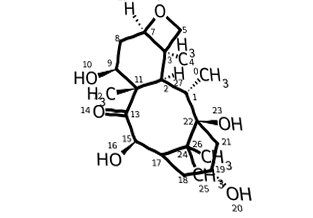 C[C@H]1[C@@H]2[C@]3(C)CO[C@@H]3C[C@H](O)[C@@]2(C)C(=O)[C@H](O)C2C[C@@H](O)C[C@]1(O)C2(C)C